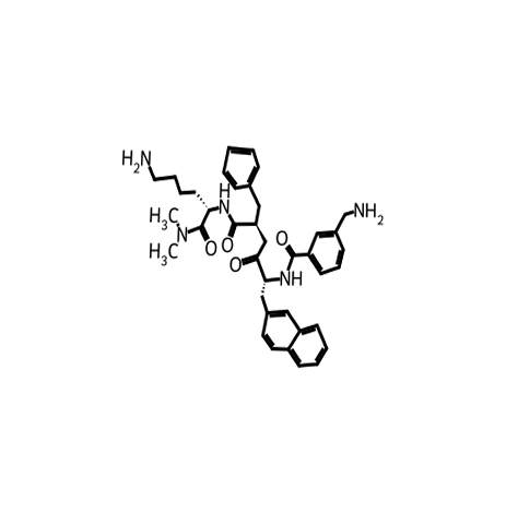 CN(C)C(=O)[C@H](CCCCN)NC(=O)[C@H](CC(=O)[C@@H](Cc1ccc2ccccc2c1)NC(=O)c1cccc(CN)c1)Cc1ccccc1